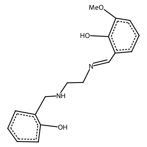 COc1cccc(C=NCCNCc2ccccc2O)c1O